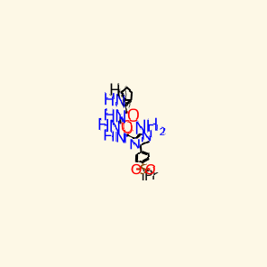 CC(C)S(=O)(=O)c1ccc(-c2cnc(N)c(C(=N)OC(=N)NC(=O)[C@H]3N[C@H]4CCC3C4)n2)cc1